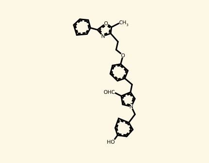 Cc1oc(-c2ccccc2)nc1CCOc1cccc(Cc2cn(Cc3ccc(O)cc3)cc2C=O)c1